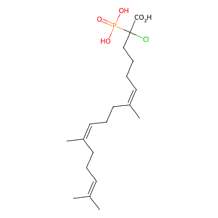 CC(C)=CCCC(C)=CCCC(C)=CCCCC(Cl)(C(=O)O)P(=O)(O)O